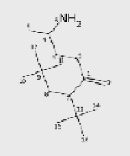 C=C(CCC(C)N)C(CC(C)(C)C)C(C)(C)C